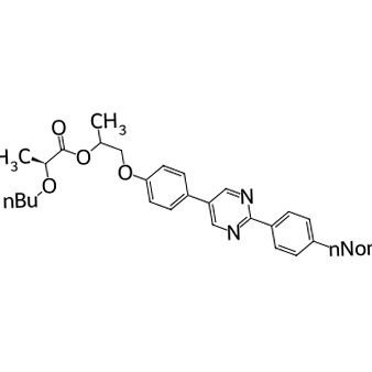 CCCCCCCCCc1ccc(-c2ncc(-c3ccc(OCC(C)OC(=O)[C@H](C)OCCCC)cc3)cn2)cc1